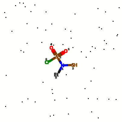 CCN(S)S(=O)(=O)Cl